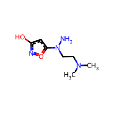 CN(C)CCN(N)c1cc(O)no1